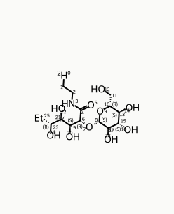 [2H]CCNC(=O)[C@H](O[C@@H]1O[C@H](CO)[C@@H](O)[C@H](O)[C@H]1O)[C@@H](O)[C@H](O)[C@H](O)CC